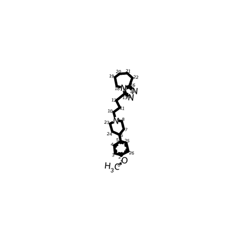 COc1ccc(C2CCN(CCCc3nnc4n3CCCCC4)CC2)cc1